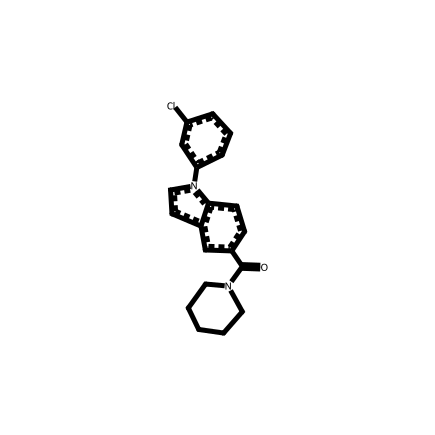 O=C(c1ccc2c(ccn2-c2cccc(Cl)c2)c1)N1CCCCC1